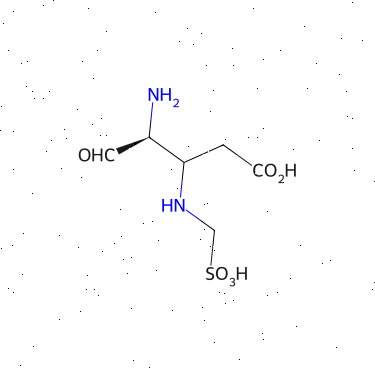 N[C@H](C=O)C(CC(=O)O)NCS(=O)(=O)O